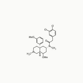 COc1cccc([C@@]23CCN(C)C[C@H]2C(OC)C[C@@H](N(C)C(=O)Cc2ccc(Cl)c(Cl)c2)C3)c1